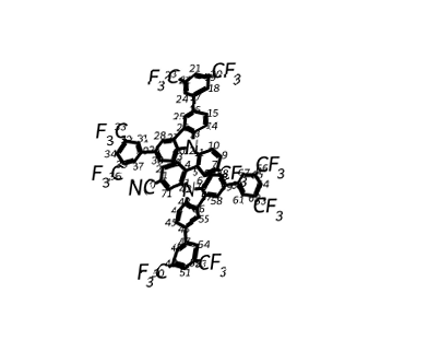 N#Cc1ccc(-c2cc(C(F)(F)F)ccc2-n2c3ccc(-c4cc(C(F)(F)F)cc(C(F)(F)F)c4)cc3c3cc(-c4cc(C(F)(F)F)cc(C(F)(F)F)c4)ccc32)c(-n2c3ccc(-c4cc(C(F)(F)F)cc(C(F)(F)F)c4)cc3c3cc(-c4cc(C(F)(F)F)cc(C(F)(F)F)c4)ccc32)c1